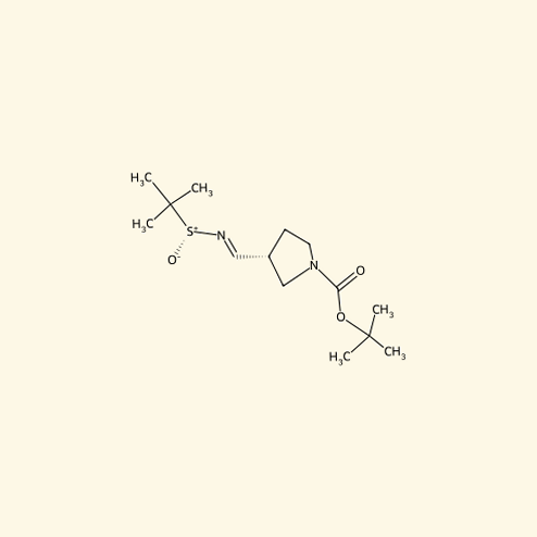 CC(C)(C)OC(=O)N1CC[C@@H](C=N[S@+]([O-])C(C)(C)C)C1